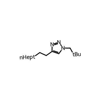 CCCCCCCCCc1cn(CC(C)(C)C)nn1